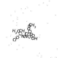 COCOc1ccc(Oc2cc(N3CCN(CC4=C(c5ccc(Cl)cc5)CC(C)(C)CC4)CC3)ccc2C(=O)O)c(Cl)c1